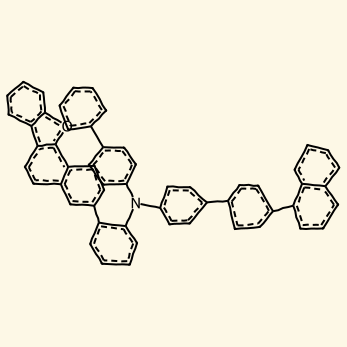 c1ccc(-c2ccc(N(c3ccc(-c4ccc(-c5cccc6ccccc56)cc4)cc3)c3ccccc3-c3ccc4c(ccc5c6ccccc6oc45)c3)cc2)cc1